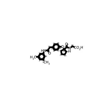 Cc1cc(C)cc(NC(=O)Cc2ccc(OC3(C(=O)NCC(=O)O)CCCC3)cc2)c1